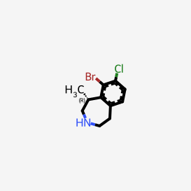 C[C@H]1CNCCc2ccc(Cl)c(Br)c21